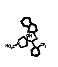 O=C(O)N1CCC(O)(C(Sc2ccc3ccccc3n2)c2ccccc2C(F)(F)F)CC1